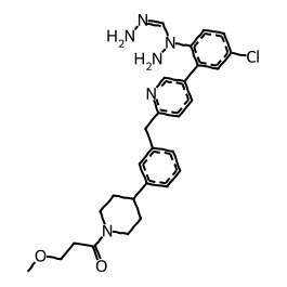 COCCC(=O)N1CCC(c2cccc(Cc3ccc(-c4cc(Cl)ccc4N(N)/C=N\N)cn3)c2)CC1